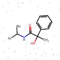 CC(=O)C(NC(=O)C(C)(O)c1ccccc1)C(C)(C)C